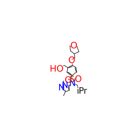 Cc1cc(N(CC(C)C)S(=O)(=O)c2ccc(OCC3CCOCC3)c(CO)c2)n(C)n1